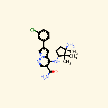 CC1(C)[C@H](Nc2c(C(N)=O)cnn3cc(-c4cccc(Cl)c4)cc23)CC[C@]1(C)N